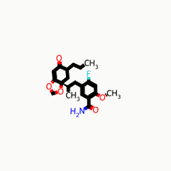 CCCC1C[C@]2(C(C)Cc3cc(C(N)=O)c(OC)cc3F)OCOC2=CC1=O